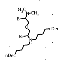 CCCCCCCCCCCCCCN(CCCCCCCCCCCCCC)C(Br)COCC(Br)N(C)C